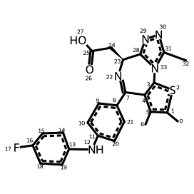 Cc1sc2c(c1C)C(c1ccc(Nc3ccc(F)cc3)cc1)=N[C@@H](CC(=O)O)c1nnc(C)n1-2